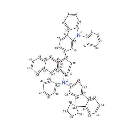 c1ccc(-n2c3ccccc3c3ccc(-c4ccc(N(c5ccc6c(c5)C5(CCCC5)c5ccccc5-6)c5ccccc5-c5cccc6ccccc56)cc4)cc32)cc1